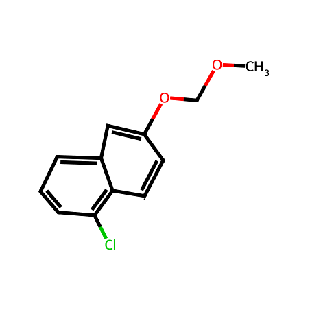 COCOc1c[c]c2c(Cl)cccc2c1